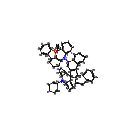 Cc1ccccc1N(c1cc2c(c3ccccc13)-c1c(ccc3ccccc13)C21c2ccccc2N(c2ccccc2)c2ccccc21)c1cccc2c1oc1ccccc12